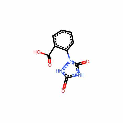 O=C(O)c1ccccc1-n1[nH]c(=O)[nH]c1=O